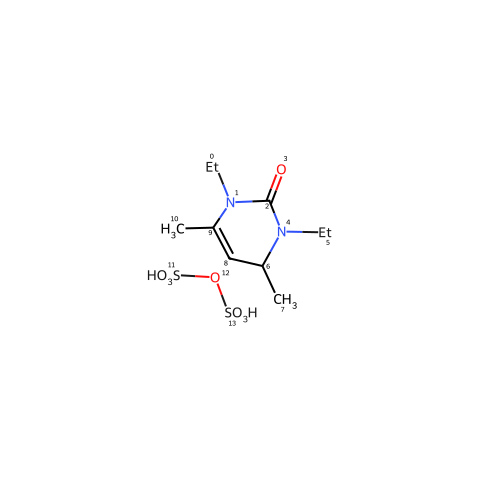 CCN1C(=O)N(CC)C(C)C=C1C.O=S(=O)(O)OS(=O)(=O)O